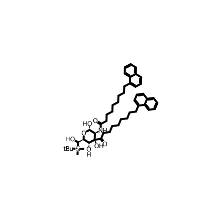 CC(C)(C)[Si](C)(C)C(O)[C@H]1O[C@H](O)[C@@H](NC(=O)CCCCCCCCc2cccc3ccccc23)[C@](O)(C(=O)CCCCCCCCc2cccc3ccccc23)[C@@H]1O